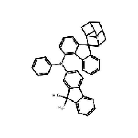 CC1(C)c2ccccc2-c2ccc(N(c3ccccc3)c3cccc4c3-c3ccccc3C43C4CC5CC6CC3(C5)C6C4)cc21